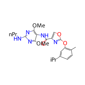 CCCNc1nc(OC)c(NC(=O)c2coc(Oc3cc(C(C)C)ccc3C)n2)c(OC)n1